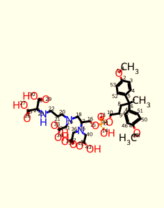 COc1ccc(C(C)(CCCOP(=O)(O)OCC(CN(CCCNC(C(=O)O)C(=O)O)CC(=O)O)N(CC(=O)O)CC(=O)O)c2ccc(OC)cc2)cc1